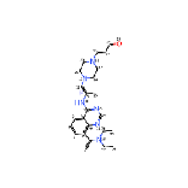 C=C(c1cccc2c(N/C(C)=C/N3CCN(CCC=O)CC3)ncnc12)N(CC)CC